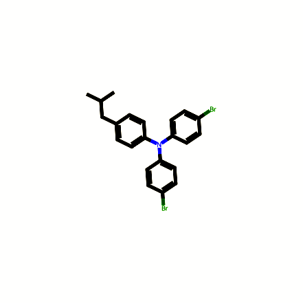 CC(C)Cc1ccc(N(c2ccc(Br)cc2)c2ccc(Br)cc2)cc1